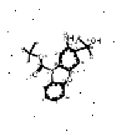 CC(C)(C)OC(=O)N1c2ccccc2Oc2cc(C(C)(C)O)c(N)cc21